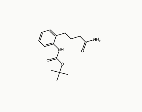 CC(C)(C)OC(=O)Nc1ccccc1CCCC(N)=O